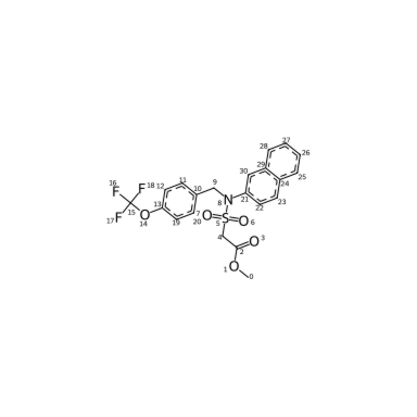 COC(=O)CS(=O)(=O)N(Cc1ccc(OC(F)(F)F)cc1)c1ccc2ccccc2c1